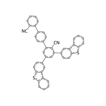 N#Cc1ccccc1-c1ccc(-c2cc(-c3ccc4sc5ccccc5c4c3)cc(-c3ccc4sc5ccccc5c4c3)c2C#N)cc1